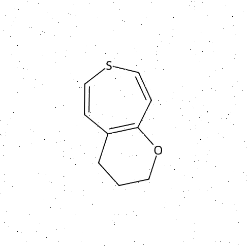 C1=CC2=C(C=CS1)OCCC2